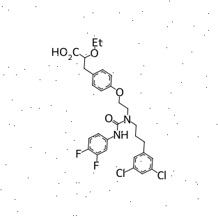 CCOC(Cc1ccc(OCCN(CCCc2cc(Cl)cc(Cl)c2)C(=O)Nc2ccc(F)c(F)c2)cc1)C(=O)O